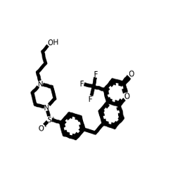 O=c1cc(C(F)(F)F)c2cc(Cc3ccc([S+]([O-])N4CCN(CCCO)CC4)cc3)ccc2o1